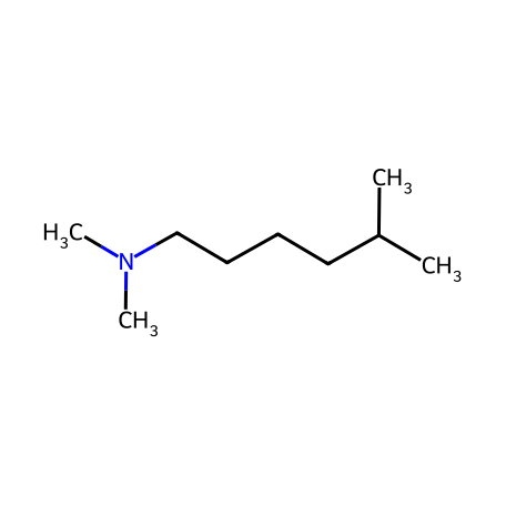 CC(C)CCCCN(C)C